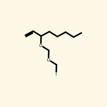 C=CC(CCCCC)OCOCI